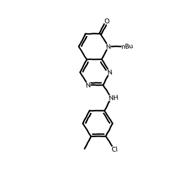 CCCCn1c(=O)ccc2cnc(Nc3ccc(C)c(Cl)c3)nc21